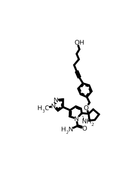 Cn1cc(C2=CN(C(N)=O)[C@](N)(C3(OCc4ccc(C#CCCCCO)cc4)CCCC3)C=C2)cn1